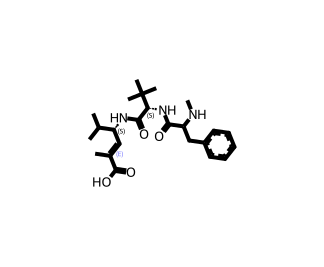 CNC(Cc1ccccc1)C(=O)N[C@H](C(=O)N[C@H](/C=C(\C)C(=O)O)C(C)C)C(C)(C)C